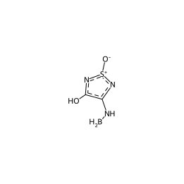 BNc1n[s+]([O-])nc1O